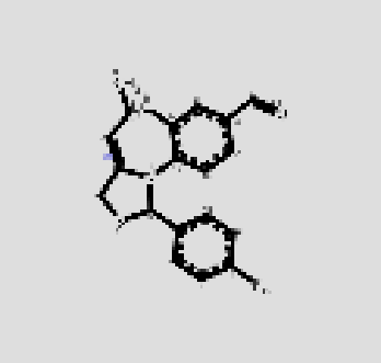 CC/C=C1/CSC(c2ccc(F)cc2)N1c1ccc(C=O)cc1C